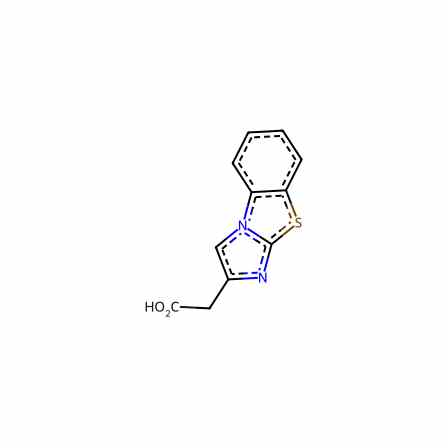 O=C(O)Cc1cn2c(n1)sc1ccccc12